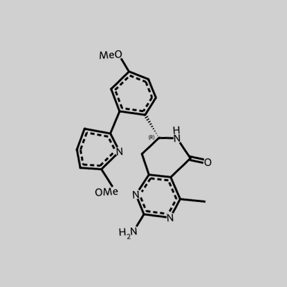 COc1ccc([C@H]2Cc3nc(N)nc(C)c3C(=O)N2)c(-c2cccc(OC)n2)c1